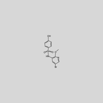 COc1ncc(Br)cc1NS(=O)(=O)c1ccc(O)cc1